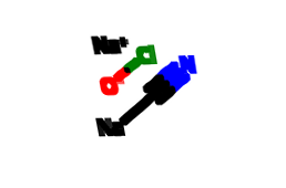 N#[C][Na].[Na+].[O-]Cl